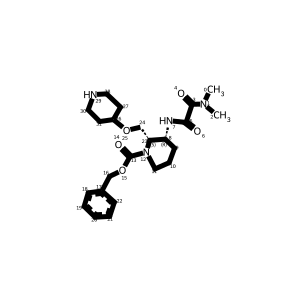 CN(C)C(=O)C(=O)N[C@@H]1CCCN(C(=O)OCc2ccccc2)[C@@H]1COC1CCNCC1